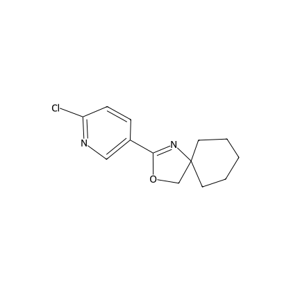 Clc1ccc(C2=NC3(CCCCC3)CO2)cn1